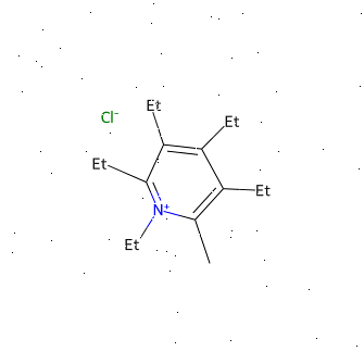 CCc1c(CC)c(C)[n+](CC)c(CC)c1CC.[Cl-]